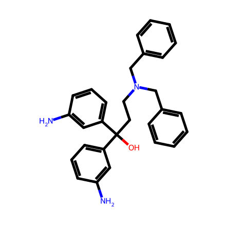 Nc1cccc(C(O)(CCN(Cc2ccccc2)Cc2ccccc2)c2cccc(N)c2)c1